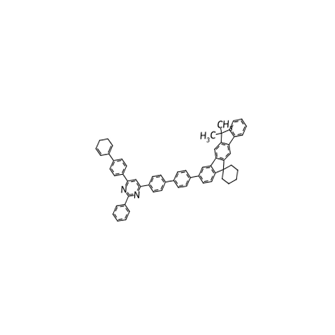 CC1(C)c2ccccc2-c2cc3c(cc21)-c1cc(-c2ccc(-c4ccc(-c5cc(-c6ccc(C7=CCCC=C7)cc6)nc(-c6ccccc6)n5)cc4)cc2)ccc1C31CCCCC1